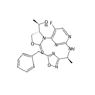 C[C@H](Nc1ncc(F)c(N2C(=O)OC[C@@H]2[C@@H](C)O)n1)c1noc(Cc2ccccc2)n1